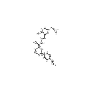 O=C(N/N=C/c1cc(OC2CC2)ccc1F)c1cncc(-c2ccc(OC(F)(F)F)nc2)n1